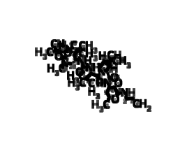 C=CCNC(=O)C(=O)C(CCC)NC(=O)[C@@H]1[C@@H]2[C@H](CN1C(=O)[C@@H](NC(=O)N[C@H](CN(C)C(=O)OC(C)(C)C)CC(C)(C)C)C(C)(C)C)C2(C)C